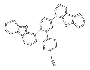 N#Cc1ccc(-c2cc(-c3cccc4c3oc3ccccc34)ccc2-c2cccc3c2oc2ccccc23)cc1